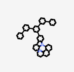 c1ccc(-c2cccc(-c3cc(-c4cccc(-c5ccccc5)c4)cc(-c4ccc5c(c4)c4ccccc4n5-c4cccc5ccc6cccnc6c45)c3)c2)cc1